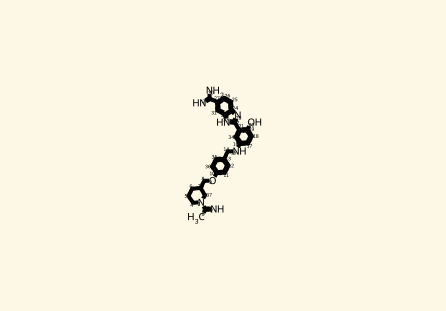 CC(=N)N1CCCC(COc2ccc(CNc3ccc(O)c(-c4nc5ccc(C(=N)N)cc5[nH]4)c3)cc2)C1